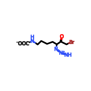 N=[N+]=NC(CCCCNC(=O)[O-])C(=O)CBr